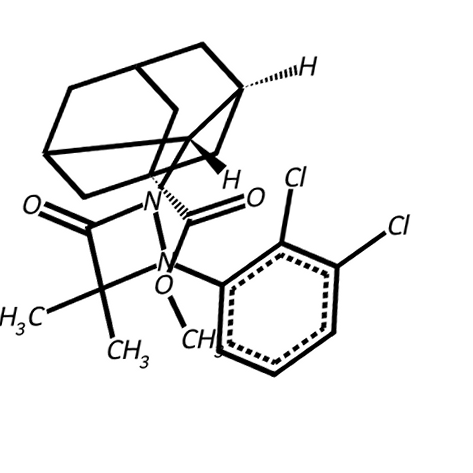 COC(=O)[C@@]12CC3CC(C1)[C@@H](N1C(=O)C(C)(C)N1c1cccc(Cl)c1Cl)[C@@H](C3)C2